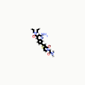 CCCN(CCC)C(=O)C1=Cc2ccc(-c3cc4c(=O)n(CC(=O)N(C)C)ccc4s3)cc2N=C(N)C1